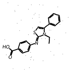 CCn1c(-c2ccccc2)csc1=Nc1ccc(C(=O)O)cc1